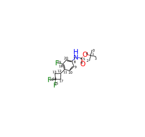 CC(C)(C)OC(=O)Nc1ccc(C2CC(F)(F)C2)c(F)c1